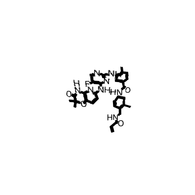 C=CC(=O)NCc1ccc(NC(=O)c2ccc(C)c(Nc3ncc(F)c(Nc4ccc5c(n4)NC(=O)C(C)(C)O5)n3)c2)cc1C